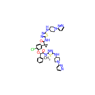 CN(C(=O)C(Oc1cc(C2(C(=O)Nc3nnc(NC4CCN(c5cccnn5)CC4)s3)CC2)ccc1Cl)c1ccccc1)c1nnc(NC2CCN(c3cccnn3)CC2)s1